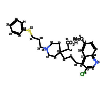 COc1ccc2ncc(Cl)c(CCCC3(CC(=O)O)CCN(CCCSc4ccccc4)CC3)c2c1